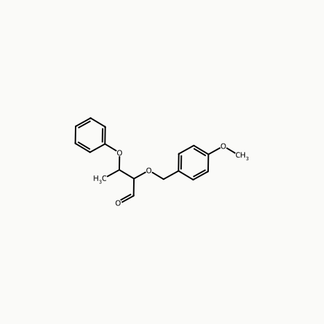 COc1ccc(COC(C=O)C(C)Oc2ccccc2)cc1